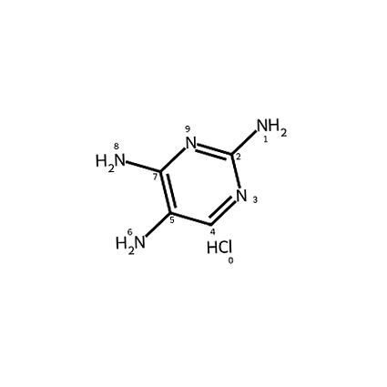 Cl.Nc1ncc(N)c(N)n1